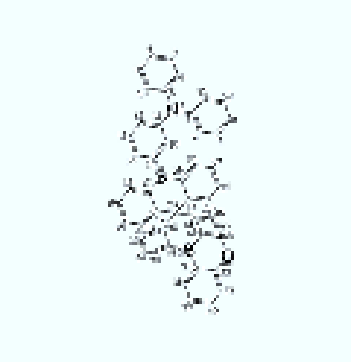 c1ccc(N(c2ccccc2)c2cccc(B3c4ccccc4C4(c5ccccc53)c3ccccc3B3c5ccccc5Oc5cccc4c53)c2)cc1